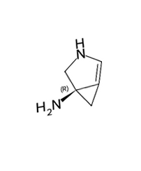 N[C@@]12CNC=C1C2